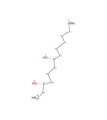 CCCCCCCCCCCCCCC[C@@H](O)CCC[C@@H](O)CC(=O)O